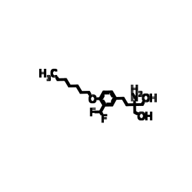 CCCCCCCOc1ccc(CCC(N)(CO)CO)cc1C(F)F